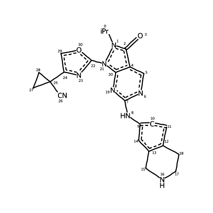 CC(C)n1c(=O)c2cnc(Nc3ccc4c(c3)CNCC4)nc2n1-c1nc(C2(C#N)CC2)co1